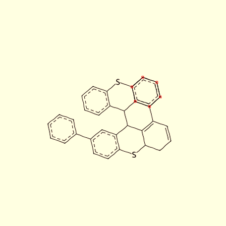 C1=CC(C2=C3C(CC=C2)Sc2ccc(-c4ccccc4)cc2C3C2c3ccccc3Sc3ccccc32)=CCC1